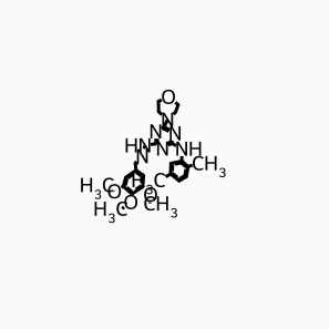 COc1cc(/C=N/Nc2nc(Nc3cc(C)ccc3C)nc(N3CCOCC3)n2)cc(OC)c1OC